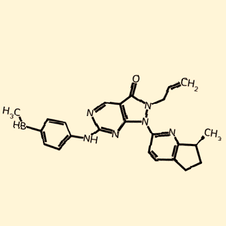 C=CCn1c(=O)c2cnc(Nc3ccc(BC)cc3)nc2n1-c1ccc2c(n1)[C@@H](C)CC2